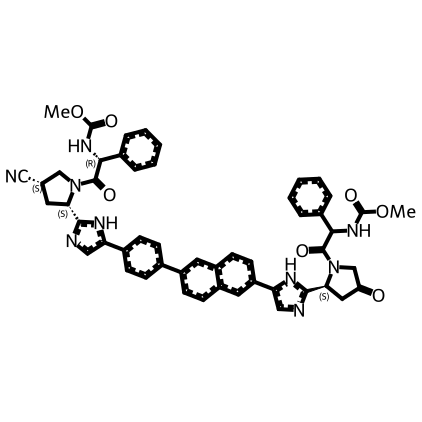 COC(=O)NC(C(=O)N1CC(=O)C[C@H]1c1ncc(-c2ccc3cc(-c4ccc(-c5cnc([C@@H]6C[C@H](C#N)CN6C(=O)[C@H](NC(=O)OC)c6ccccc6)[nH]5)cc4)ccc3c2)[nH]1)c1ccccc1